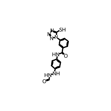 O=CNNc1ccc(NC(=O)c2cccc(-n3nnnc3S)c2)cc1